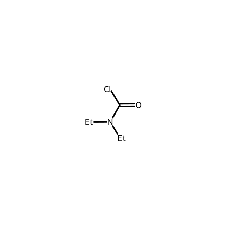 [CH2]CN(C[CH2])C(=O)Cl